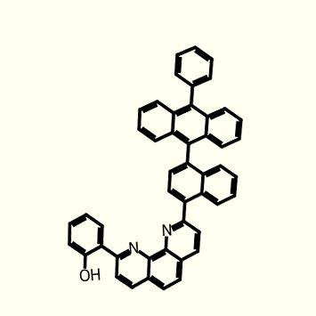 Oc1ccccc1-c1ccc2ccc3ccc(-c4ccc(-c5c6ccccc6c(-c6ccccc6)c6ccccc56)c5ccccc45)nc3c2n1